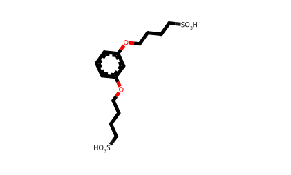 O=S(=O)(O)CCCCOc1[c]ccc(OCCCCS(=O)(=O)O)c1